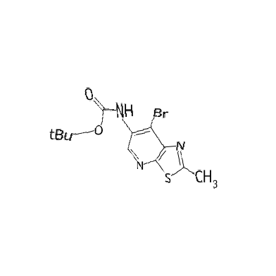 Cc1nc2c(Br)c(NC(=O)OC(C)(C)C)cnc2s1